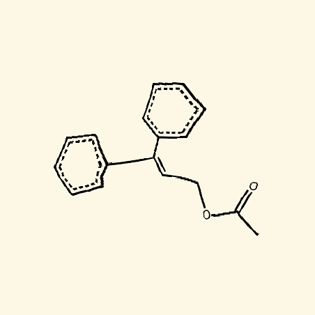 CC(=O)OCC=C(c1ccccc1)c1ccccc1